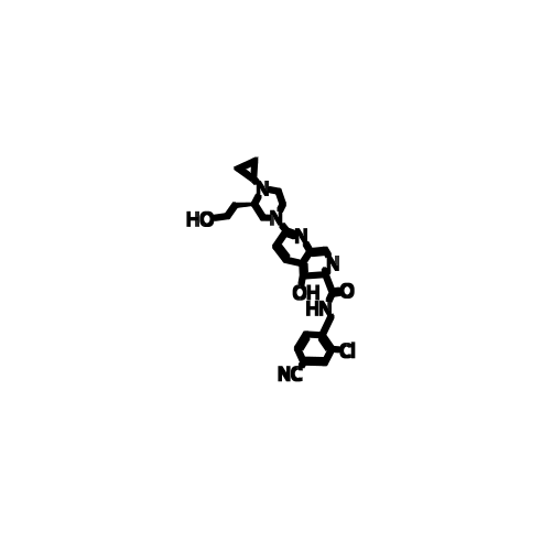 N#Cc1ccc(CNC(=O)c2ncc3nc(N4CCN(C5CC5)[C@H](CCO)C4)ccc3c2O)c(Cl)c1